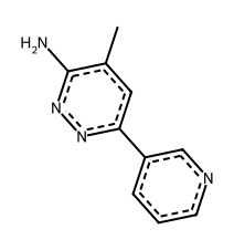 Cc1cc(-c2cccnc2)nnc1N